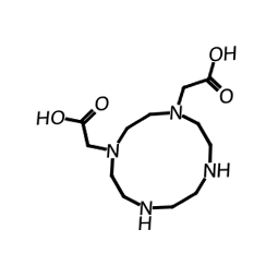 O=C(O)CN1CCNCCNCCN(CC(=O)O)CC1